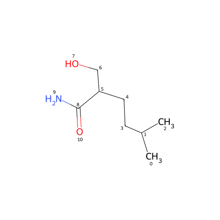 CC(C)CCC(CO)C(N)=O